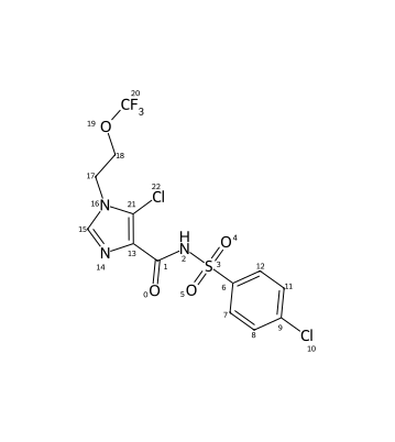 O=C(NS(=O)(=O)c1ccc(Cl)cc1)c1ncn(CCOC(F)(F)F)c1Cl